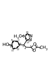 CC1OC(CC(c2ccc(O)cc2)c2nncn2C)O1